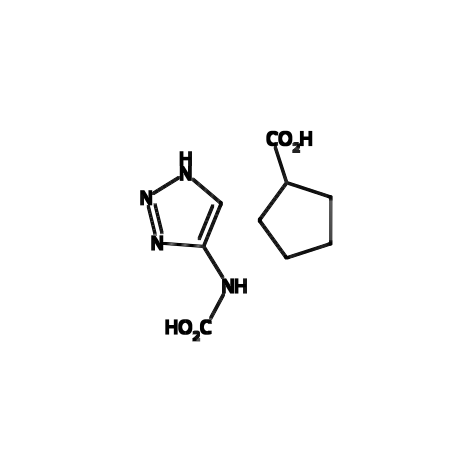 O=C(O)C1CCCC1.O=C(O)Nc1c[nH]nn1